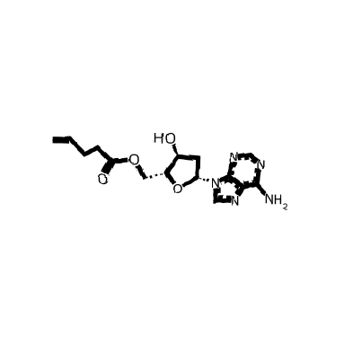 C=CCCC(=O)OC[C@H]1O[C@@H](n2cnc3c(N)ncnc32)C[C@@H]1O